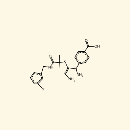 CC(C)(S/C(=N/N)N(N)c1ccc(C(=O)O)cc1)C(=O)NCc1cccc(F)c1